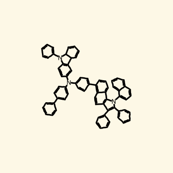 C1=CC2c3cc(N(c4ccc(-c5ccccc5)cc4)c4ccc(-c5cccc6c5ccc5c(-c7ccccc7)c(-c7ccccc7)n(-c7cccc8ccccc78)c56)cc4)ccc3N(c3ccccc3)C2C=C1